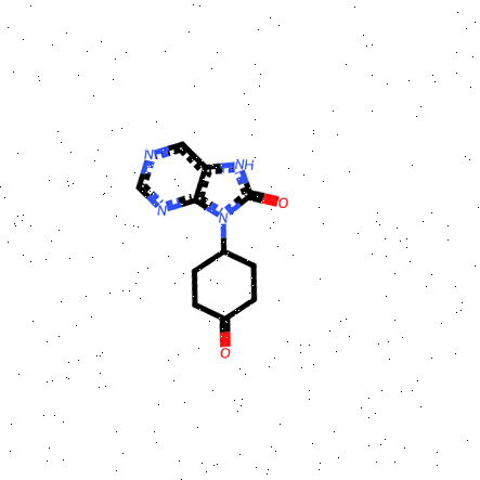 O=C1CCC(n2c(=O)[nH]c3cncnc32)CC1